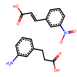 Nc1cccc(CCC(=O)O)c1.O=C(O)/C=C/c1cccc([N+](=O)[O-])c1